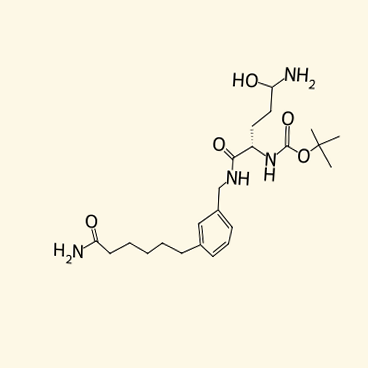 CC(C)(C)OC(=O)N[C@@H](CCC(N)O)C(=O)NCc1cccc(CCCCCC(N)=O)c1